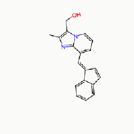 Cc1nc2c(C=C3C=Cc4ccccc43)cccn2c1CO